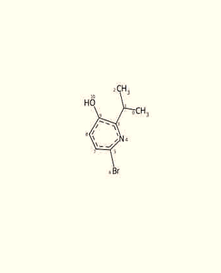 CC(C)c1nc(Br)ccc1O